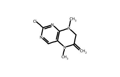 C=C1CN(C)c2nc(Cl)ncc2N1C